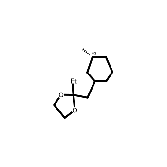 CCC1(CC2CCC[C@@H](C)C2)OCCO1